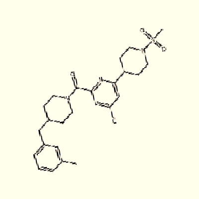 Cc1cccc(CC2CCN(C(=O)c3cc(Cl)cc(C4CCN(S(C)(=O)=O)CC4)n3)CC2)c1